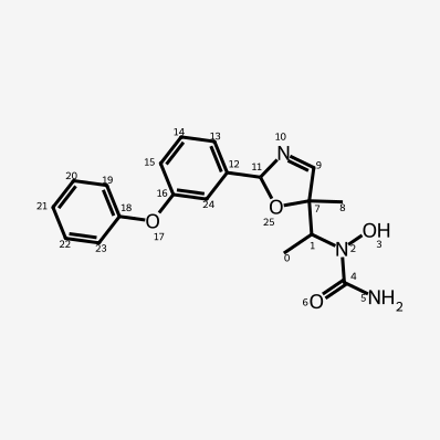 CC(N(O)C(N)=O)C1(C)C=NC(c2cccc(Oc3ccccc3)c2)O1